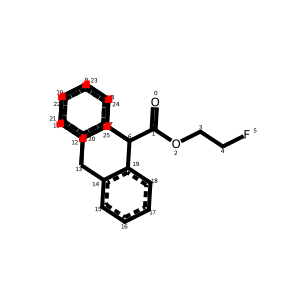 O=C(OCCF)C12c3ccccc3C(c3ccccc31)c1ccccc12